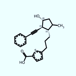 CC1C[C@@H](O)[C@H](C#Cc2ccccc2)[C@H]1CCCc1ccc(C(=O)O)s1